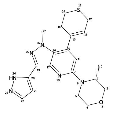 C[C@@H]1COCCN1c1cc(C2=CCSCC2)c2c(n1)c(-c1ccn[nH]1)nn2C